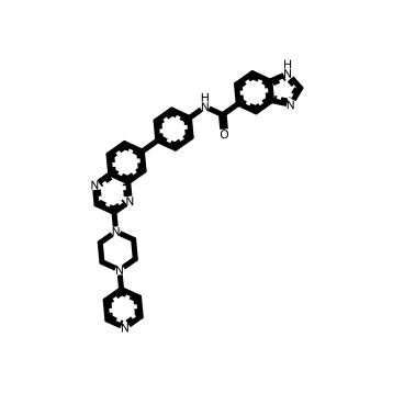 O=C(Nc1ccc(-c2ccc3ncc(N4CCN(c5ccncc5)CC4)nc3c2)cc1)c1ccc2[nH]cnc2c1